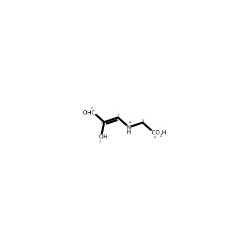 O=C/C(O)=C/NCC(=O)O